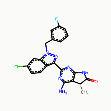 C[C@H]1C(=O)Nc2nc(-c3nn(Cc4cccc(F)c4)c4cc(Cl)ccc34)nc(N)c21